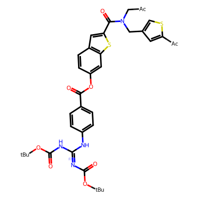 CC(=O)CN(Cc1csc(C(C)=O)c1)C(=O)c1cc2ccc(OC(=O)c3ccc(N/C(=N\C(=O)OC(C)(C)C)NC(=O)OC(C)(C)C)cc3)cc2s1